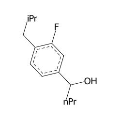 CCCC(O)c1ccc(CC(C)C)c(F)c1